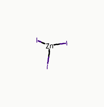 [I][Zn]([I])[I]